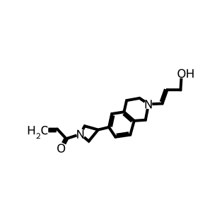 C=CC(=O)N1CC(c2ccc3c(c2)CCN(/C=C/CO)C3)C1